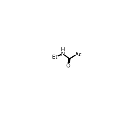 CCNC(=O)C(C)=O